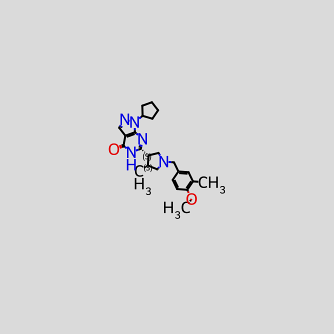 COc1ccc(CN2C[C@@H](C)[C@H](c3nc4c(cnn4C4CCCC4)c(=O)[nH]3)C2)cc1C